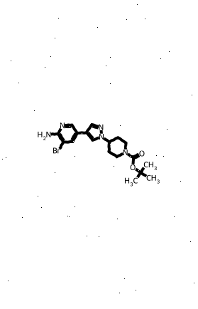 CC(C)(C)OC(=O)N1CCC(n2cc(-c3cnc(N)c(Br)c3)cn2)CC1